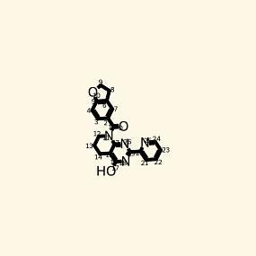 O=C(c1ccc2c(c1)CCO2)N1CCCc2c(O)nc(-c3ccccn3)nc21